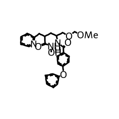 COCOCC(CC(Cc1ccccn1)C(=O)NO)NC(=O)c1ccc(Oc2ccccc2)cc1